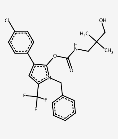 CC(C)(CO)CNC(=O)Oc1c(-c2ccc(Cl)cc2)cc(C(F)(F)F)n1Cc1ccccc1